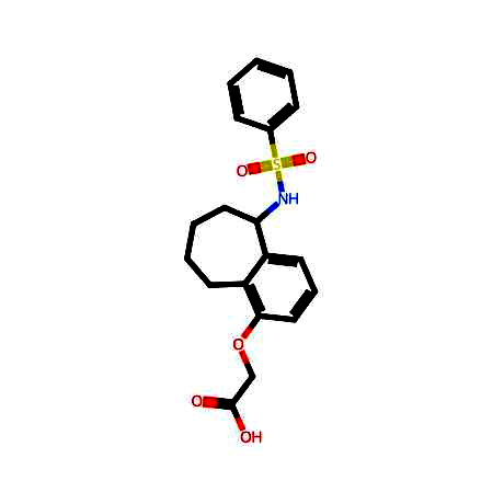 O=C(O)COc1cccc2c1CCCCC2NS(=O)(=O)c1ccccc1